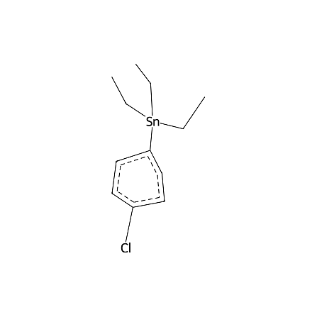 C[CH2][Sn]([CH2]C)([CH2]C)[c]1ccc(Cl)cc1